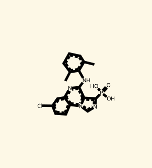 Cc1cccc(C)c1Nc1nc2cc(Cl)ccc2n2cnc(P(=O)(O)O)c12